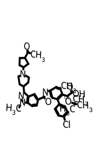 CC(=O)C1CCC(N2CCC(c3nn(C)c4ccc(-c5nc6cc(C)c([C@H](OC(C)(C)C)C(=O)O)c(-c7ccc(Cl)cc7)c6o5)cc34)CC2)C1